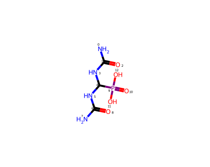 NC(=O)NC(NC(N)=O)P(=O)(O)O